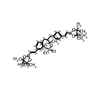 CC[Si](CC)(CC)OC(C)(C)C(Cc1ccc(/C=C/B2OC(C)(C)C(C)(C)O2)cc1)Cc1ccc(/C=C/B2OC(C)(C)C(C)(C)O2)cc1